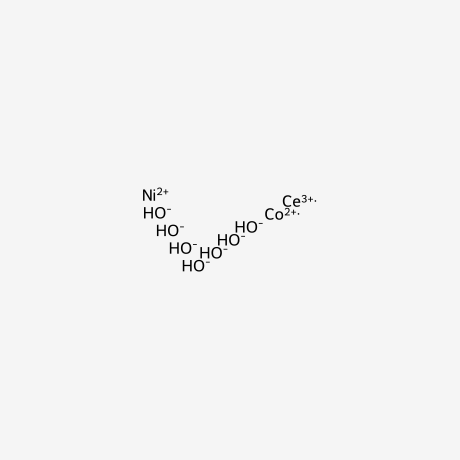 [Ce+3].[Co+2].[Ni+2].[OH-].[OH-].[OH-].[OH-].[OH-].[OH-].[OH-]